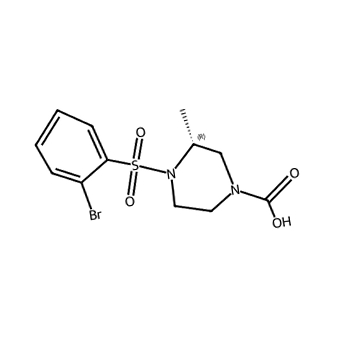 C[C@@H]1CN(C(=O)O)CCN1S(=O)(=O)c1ccccc1Br